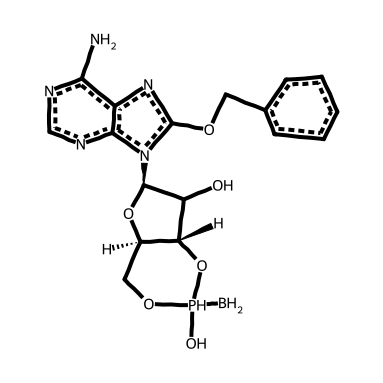 B[PH]1(O)OC[C@H]2O[C@@H](n3c(OCc4ccccc4)nc4c(N)ncnc43)C(O)[C@@H]2O1